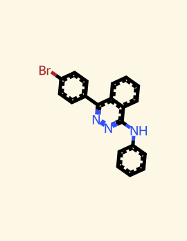 Brc1ccc(-c2nnc(Nc3ccccc3)c3ccccc23)cc1